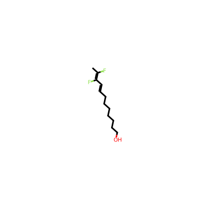 CC(F)=C(F)C=CCCCCCCCO